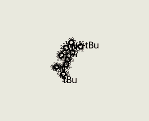 CC(C)(C)c1ccc(N(c2ccccc2)c2ccc3c(c2)C2(c4ccccc4-c4ccccc42)c2cc4cc(N(c5ccccc5)c5ccc(C(C)(C)C)cc5)ccc4cc2-3)cc1